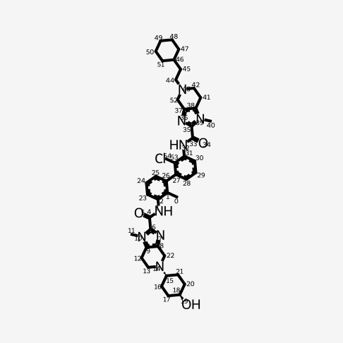 Cc1c(NC(=O)c2nc3c(n2C)CCN([C@H]2CC[C@H](O)CC2)C3)cccc1-c1cccc(NC(=O)c2nc3c(n2C)CCN(CCC2CCCCC2)C3)c1Cl